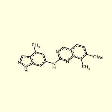 COc1ccc2cnc(Nc3cc(C)c4cn[nH]c4c3)nc2c1C